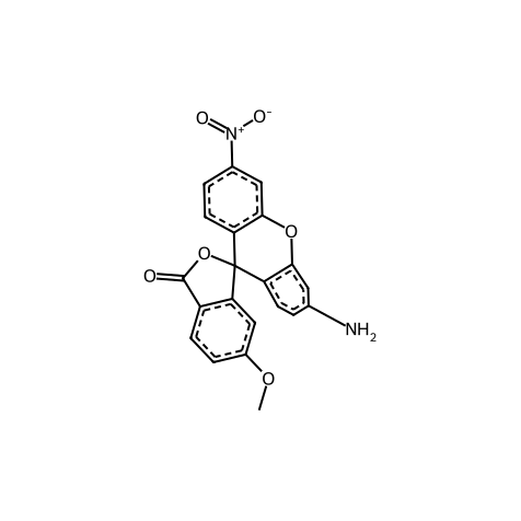 COc1ccc2c(c1)C1(OC2=O)c2ccc(N)cc2Oc2cc([N+](=O)[O-])ccc21